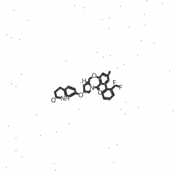 Cc1cc2c(c(-c3ccccc3C(F)F)c1)C(=O)N1C[C@@H](Oc3ccc4c(c3)NC(=O)CC4)C[C@@H]1CO2